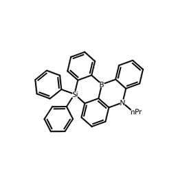 CCCN1c2ccccc2B2c3ccccc3[Si](c3ccccc3)(c3ccccc3)c3cccc1c32